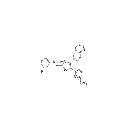 Cn1ccc(-c2nc(CNc3cccc(F)c3)[nH]c2-c2ccc3ncccc3c2)n1